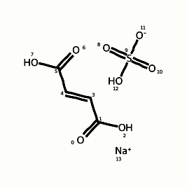 O=C(O)C=CC(=O)O.O=S(=O)([O-])O.[Na+]